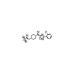 CS(=O)(=O)NC[C@H]1CC[C@H](Nc2nc(-c3ccccc3F)no2)CC1